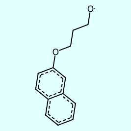 [O]CCCOc1ccc2ccccc2c1